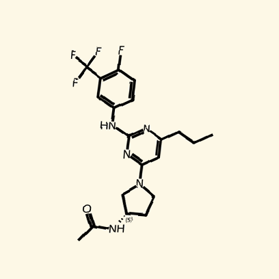 CCCc1cc(N2CC[C@H](NC(C)=O)C2)nc(Nc2ccc(F)c(C(F)(F)F)c2)n1